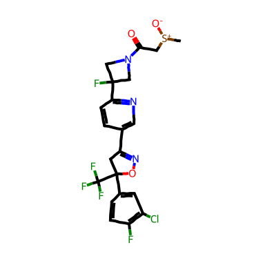 C[S+]([O-])CC(=O)N1CC(F)(c2ccc(C3=NOC(c4ccc(F)c(Cl)c4)(C(F)(F)F)C3)cn2)C1